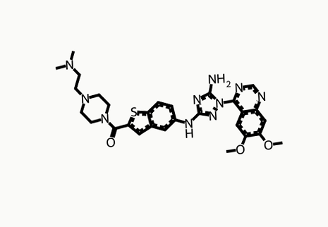 COc1cc2ncnc(-n3nc(Nc4ccc5sc(C(=O)N6CCN(CCN(C)C)CC6)cc5c4)nc3N)c2cc1OC